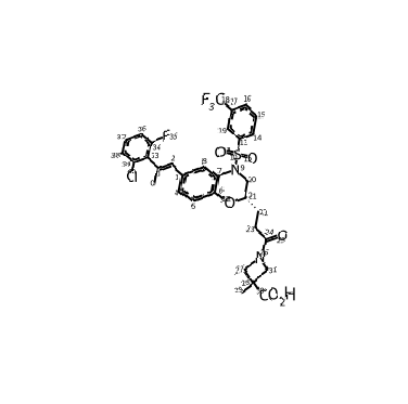 C/C(=C\c1ccc2c(c1)N(S(=O)(=O)c1cccc(C(F)(F)F)c1)C[C@H](CCC(=O)N1CC(C)(C(=O)O)C1)O2)c1c(F)cccc1Cl